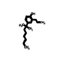 C=CCc1cc(C(C)(C)CCCCCC)ccc1O